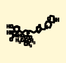 CC(C)(C)OC(=O)N(CCc1csc(CN2CCC3(CC2)CNCCO3)c1)C[C@H](O)c1ccc(O)c2[nH]c(=O)sc12